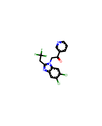 O=C(Cn1c(CC(F)(F)F)nc2cc(Cl)c(Cl)cc21)c1cccnc1